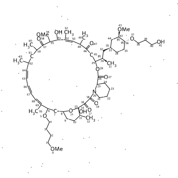 COCCCCOC1CC2CCC(C)C(O)(O2)C(=O)C(=O)N2CCCCC2C(=O)OC([C@H](C)C[C@@H]2CC[C@@H](OCCCO)[C@H](OC)C2)CC(=O)C(C)C=C(C)C(O)C(OC)C(=O)C(C)CC(C)C=CC=CC=C1C